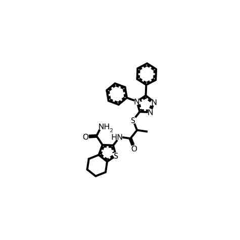 CC(Sc1nnc(-c2ccccc2)n1-c1ccccc1)C(=O)Nc1sc2c(c1C(N)=O)CCCC2